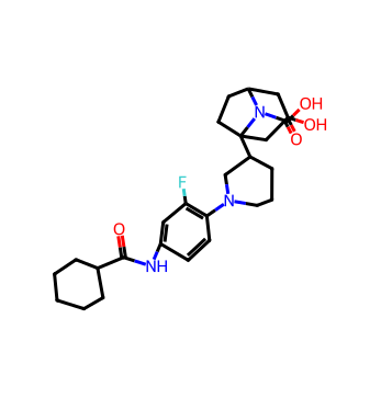 O=C(Nc1ccc(N2CCCC(C34CCC(CC(O)C3)N4C(=O)O)C2)c(F)c1)C1CCCCC1